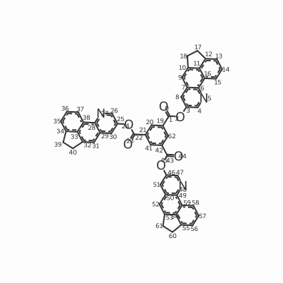 O=C(Oc1cnc2c(c1)cc1c3c(cccc32)CC1)c1cc(C(=O)Oc2cnc3c(c2)cc2c4c(cccc43)CC2)cc(C(=O)Oc2cnc3c(c2)cc2c4c(cccc43)CC2)c1